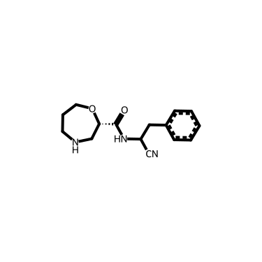 N#CC(Cc1ccccc1)NC(=O)[C@@H]1CNCCCO1